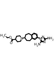 CCOC(=O)C1CCN(C2CCc3ccc(-n4nc(N)nc4N)cc3CC2)CC1